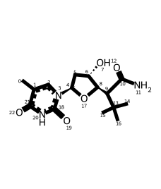 Cc1cn([C@H]2C[C@H](O)[C@@H](C(C(N)=O)C(C)(C)C)O2)c(=O)[nH]c1=O